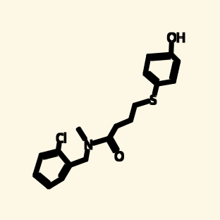 CN(Cc1ccccc1Cl)C(=O)CCCSc1ccc(O)cc1